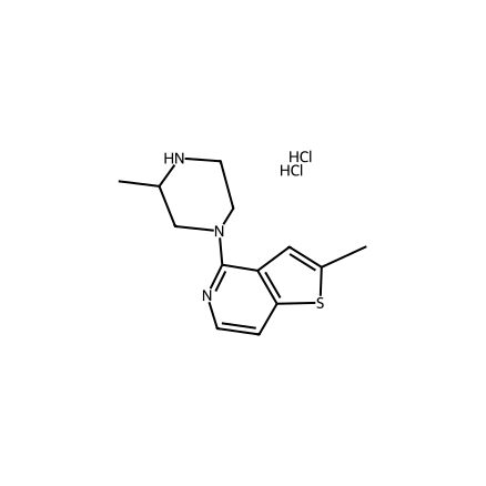 Cc1cc2c(N3CCNC(C)C3)nccc2s1.Cl.Cl